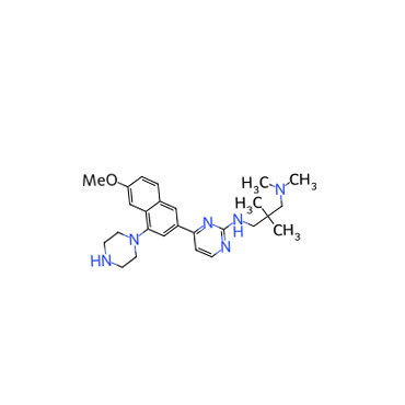 COc1ccc2cc(-c3ccnc(NCC(C)(C)CN(C)C)n3)cc(N3CCNCC3)c2c1